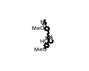 COc1ccc(C2(O)CCCn3nc(C=Cc4ccc(-n5cnc(C)c5)c(OC)c4)nc32)cc1